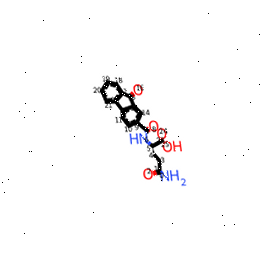 NC(=O)CC[C@H](NC(=O)c1ccc2c(c1)C(=O)c1ccccc1-2)C(=O)O